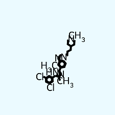 Cc1nc(-c2ccc3c(ncn3CCCC3CCN(C)CC3)c2C)[nH]c1-c1cc(Cl)cc(Cl)c1